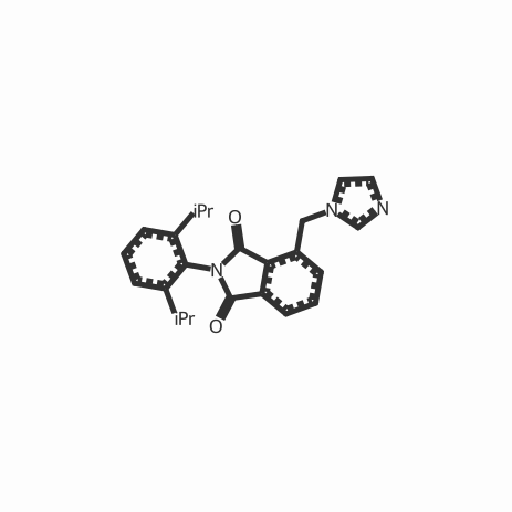 CC(C)c1cccc(C(C)C)c1N1C(=O)c2cccc(Cn3ccnc3)c2C1=O